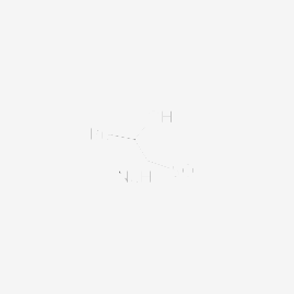 CCCCC(O)CS(=O)(=O)O.[NaH]